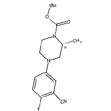 C[C@@H]1CN(c2ccc(F)c(C#N)c2)CCN1C(=O)OC(C)(C)C